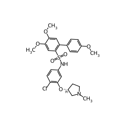 COc1ccc(-c2cc(OC)c(OC)cc2S(=O)(=O)Nc2ccc(Cl)c(O[C@@H]3CCN(C)C3)c2)cc1